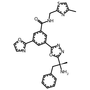 Cc1csc(CNC(=O)c2cc(-c3ncco3)cc(-c3nnc([C@](C)(N)Cc4ccccc4)o3)c2)n1